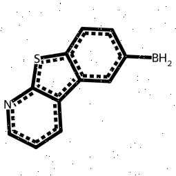 Bc1ccc2sc3ncccc3c2c1